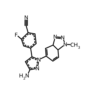 CN1N=NC2C=C(n3nc(N)cc3-c3ccc(C#N)c(F)c3)C=CC21